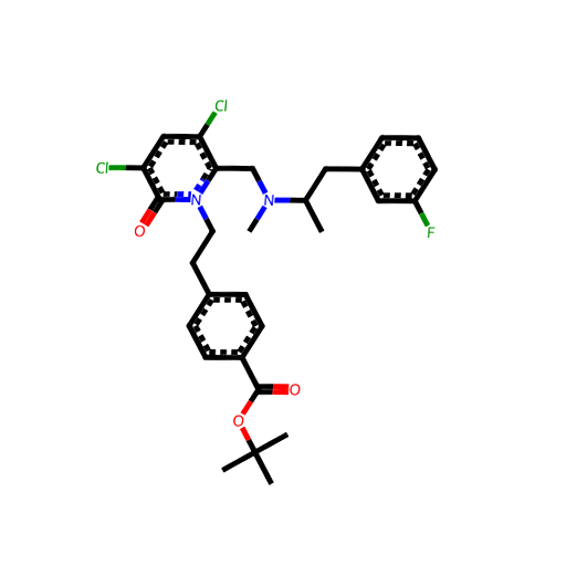 CC(Cc1cccc(F)c1)N(C)Cc1c(Cl)cc(Cl)c(=O)n1CCc1ccc(C(=O)OC(C)(C)C)cc1